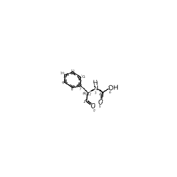 O=C[C@H](NC(=O)O)c1ccccc1